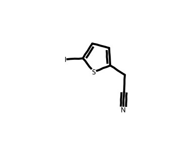 N#CCc1ccc(I)s1